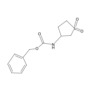 O=C(NC1CCS(=O)(=O)C1)OCc1ccccc1